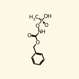 CP(=O)(O)ONC(=O)OCc1ccccc1